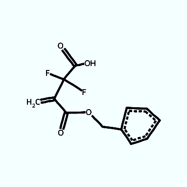 C=C(C(=O)OCc1ccccc1)C(F)(F)C(=O)O